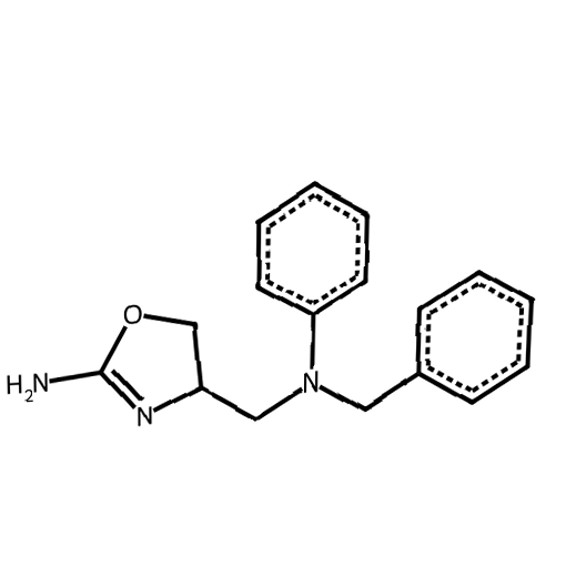 NC1=NC(CN(Cc2ccccc2)c2ccccc2)CO1